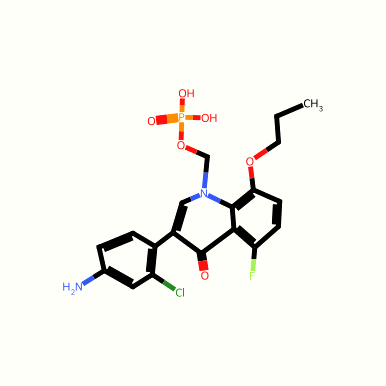 CCCOc1ccc(F)c2c(=O)c(-c3ccc(N)cc3Cl)cn(COP(=O)(O)O)c12